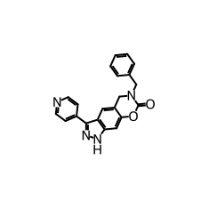 O=C1Oc2cc3[nH]nc(-c4ccncc4)c3cc2CN1Cc1ccccc1